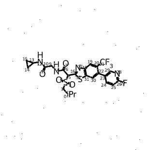 CC(C)CS(=O)(=O)C(C(=O)NCC(=O)NC1CC1)c1nc2cc(C(F)(F)F)c(-c3ccc(F)nc3)cc2s1